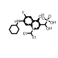 CCC(CC)n1cc(C(O)P(=O)(O)O)c(=O)c2cc(F)c(NC3CCCCC3)cc21